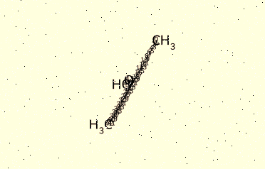 CCCCCCCCCCCCCCCCCCCCCCC(CCCCCCCCCCCCCCCCCCCC)C(=O)O